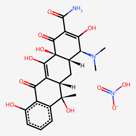 CN(C)[C@@H]1C(O)=C(C(N)=O)C(=O)[C@@]2(O)C(O)=C3C(=O)c4c(O)cccc4[C@@](C)(O)[C@H]3C[C@@H]12.O=[N+]([O-])O